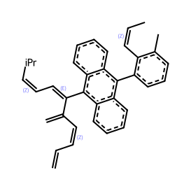 C=C/C=C\C(=C)/C(=C\C=C/C(C)C)c1c2ccccc2c(-c2cccc(C)c2/C=C\C)c2ccccc12